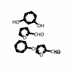 Cc1ccccc1.O=Cc1ccco1.O=Cc1ccco1.Oc1cccc(O)c1.[Na]